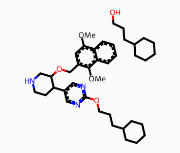 COc1cc(COC2CNCCC2c2cnc(OCCCC3CCCCC3)nc2)c(OC)c2ccccc12.OCCCC1CCCCC1